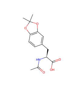 CC(=O)N[C@@H](Cc1ccc2c(c1)OC(C)(C)O2)C(=O)O